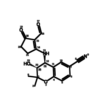 CC1(C)Oc2ccc(C#N)cc2[C@H](NC2=C(C=O)C(=O)CC2)[C@H]1O